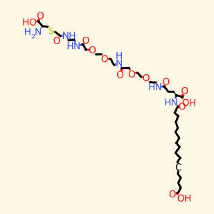 N[C@@H](CSCC(=O)NCCNC(=O)COCCOCCNC(=O)COCCOCCNC(=O)CC[C@H](NC(=O)CCCCCCCCCCCCCCCCC(=O)O)C(=O)O)C(=O)O